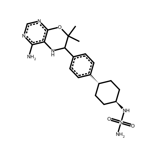 CC1(C)Oc2ncnc(N)c2NC1c1ccc([C@H]2CC[C@H](NS(N)(=O)=O)CC2)cc1